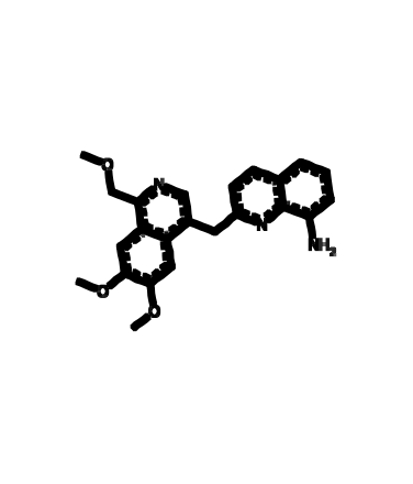 COCc1ncc(Cc2ccc3cccc(N)c3n2)c2cc(OC)c(OC)cc12